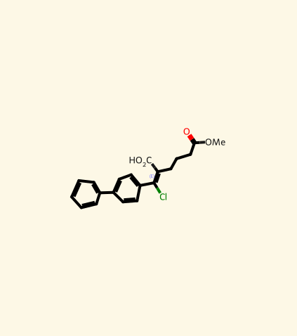 COC(=O)CCC/C(C(=O)O)=C(\Cl)c1ccc(-c2ccccc2)cc1